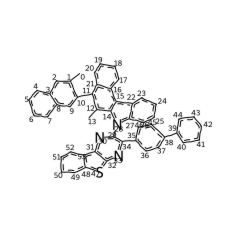 Cc1cc2ccccc2cc1-c1c(C)c2c(c3ccccc13)c1ccccc1n2-c1nc2c(nc1-c1ccc(-c3ccccc3)cc1)sc1ccccc12